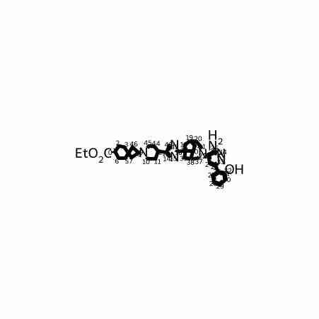 CCOC(=O)[C@H]1CCC2(CC1)C[C@H](N1CCC(c3cnc(C45CC6CCN(c7cc(-c8ccccc8O)nnc7N)CC(C4)C5C6)nc3)CC1)C2